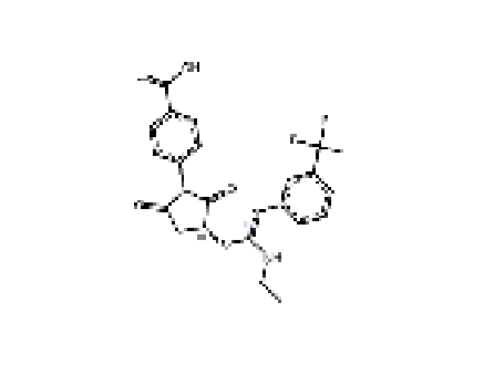 CCN/C(=N\c1cccc(C(F)(F)F)c1)S[C@H]1CC(=O)N(c2ccc(C(=O)O)cc2)C1=O